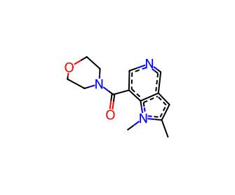 Cc1cc2cncc(C(=O)N3CCOCC3)c2n1C